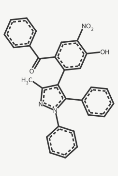 Cc1nn(-c2ccccc2)c(-c2ccccc2)c1-c1cc(O)c([N+](=O)[O-])cc1C(=O)c1ccccc1